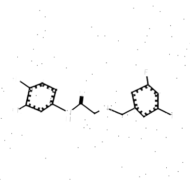 O=C(CNCc1cc(F)cc(F)c1)Nc1ccc(F)c(Cl)c1